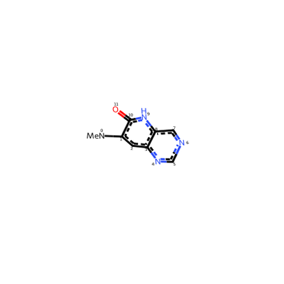 CNc1cc2ncncc2[nH]c1=O